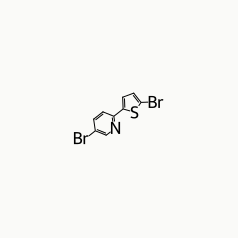 Brc1ccc(-c2ccc(Br)s2)nc1